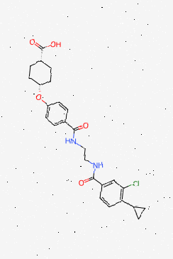 O=C(NCCNC(=O)c1ccc(C2CC2)c(Cl)c1)c1ccc(O[C@H]2CC[C@@H](C(=O)O)CC2)cc1